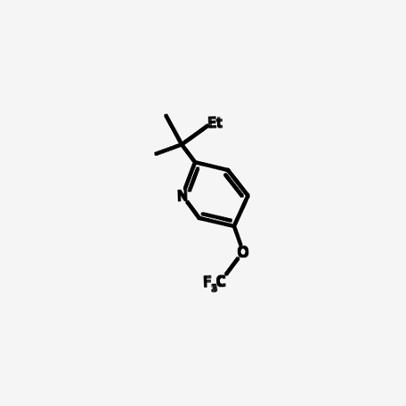 CCC(C)(C)c1ccc(OC(F)(F)F)cn1